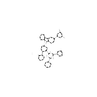 Cc1cc(C)cc(-c2ccc3c(c2)c2ccccc2n3-c2ccc(-c3ccccc3C(F)(F)F)c(-c3nc(-c4ccccc4)nc(-c4ccccc4)n3)c2)c1